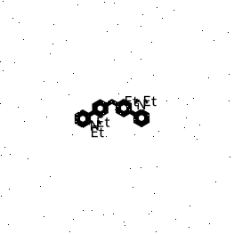 CCN(CC)c1ccccc1-c1ccc(Cc2ccc(-c3ccccc3N(CC)CC)cc2)cc1